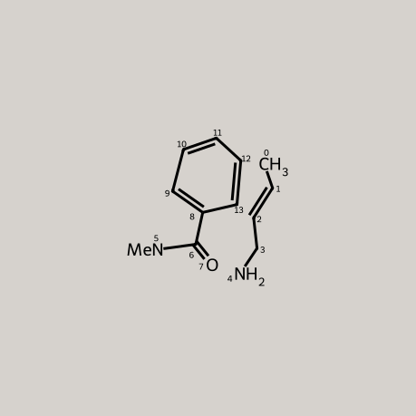 CC=CCN.CNC(=O)c1ccccc1